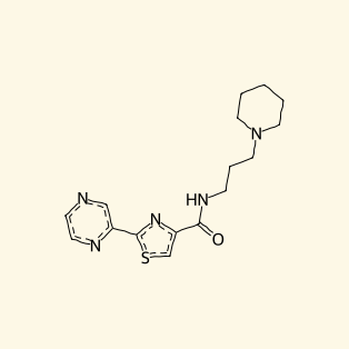 O=C(NCCCN1CCCCC1)c1csc(-c2cnccn2)n1